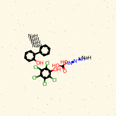 N=[N+]=N.O=C(O)O.Oc1c(Cl)c(Cl)c(Cl)c(Cl)c1Cl.Oc1ccccc1-c1ccccc1.[NaH].[NaH].[NaH].[NaH].[NaH]